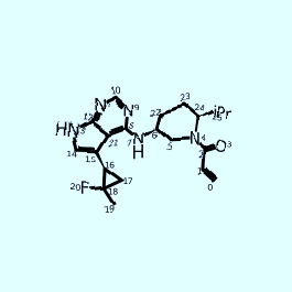 C=CC(=O)N1C[C@@H](Nc2ncnc3[nH]cc([C@H]4CC4(C)F)c23)CC[C@H]1C(C)C